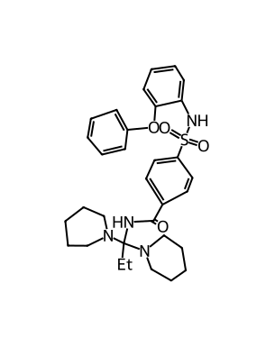 CCC(NC(=O)c1ccc(S(=O)(=O)Nc2ccccc2Oc2ccccc2)cc1)(N1CCCCC1)N1CCCCC1